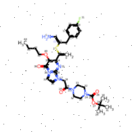 C=C(S/C(=C\N)Cc1ccc(F)cc1)c1nc2n(CC(=O)N3CCN(C(=O)OC(C)(C)C)CC3)ccn2c(=O)c1OCCCC